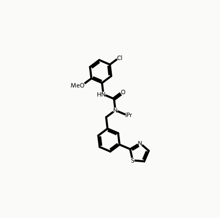 COc1ccc(Cl)cc1NC(=O)N(Cc1cccc(-c2nccs2)c1)C(C)C